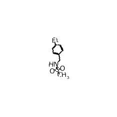 CCc1ccc(CNS(C)(=O)=O)cc1